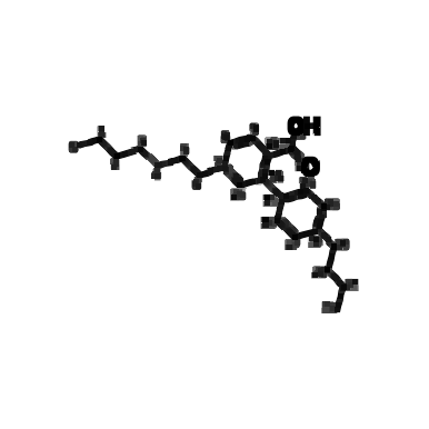 CCCCCCCc1ccc(C(=O)O)c(-c2ccc(CCCC)cc2)c1